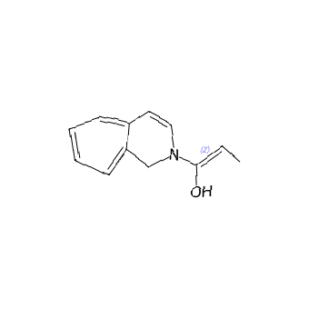 C/C=C(\O)N1C=Cc2ccccc2C1